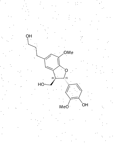 COc1cc([C@H]2Oc3c(OC)cc(CCCO)cc3[C@@H]2CO)ccc1O